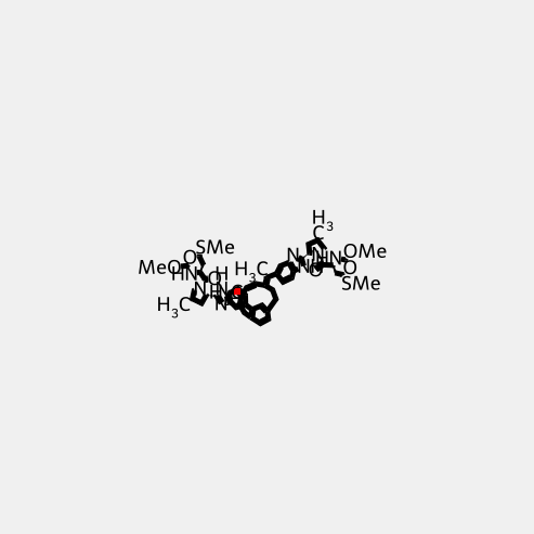 COC(=O)N[C@@H](CCSC)C(=O)N1C[C@H](C)C[C@H]1c1nc2cc(/C(C)=C3/C=C\[C@H](C)CCc4ccc(cc4-c4ccc5[nH]c([C@@H]6C[C@@H](C)CN6C(=O)[C@H](CCSC)NC(=O)OC)nc5c4)CC3)ccc2[nH]1